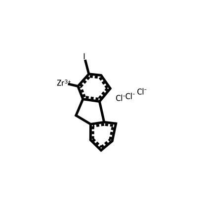 [Cl-].[Cl-].[Cl-].[Zr+3][c]1c(I)ccc2c1Cc1ccccc1-2